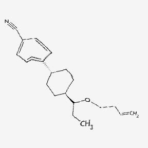 C=CCCOC(CC)[C@H]1CC[C@H](c2ccc(C#N)cc2)CC1